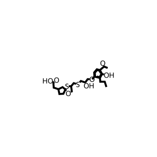 CCCc1c(OCC(O)CSCC2COC3(CCC(CC(=O)O)C3)S2)ccc(C(C)=O)c1O